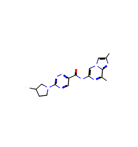 CNC1CCN(c2ncc(C(=O)Nc3cn4cc(C)nc4c(C)n3)nn2)C1